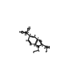 CCn1c(NC)nc2cc([N+](=O)[O-])ccc21